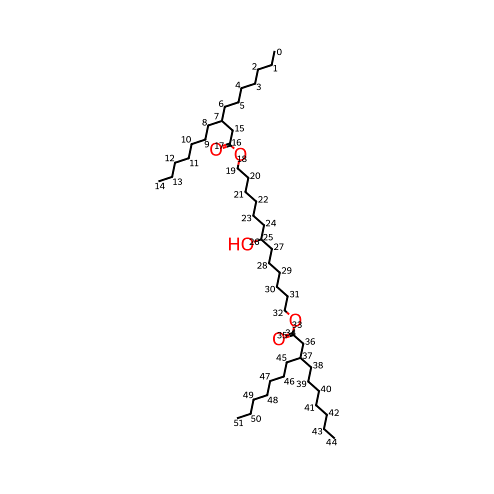 CCCCCCCC(CCCCCCC)CC(=O)OCCCCCCC(O)CCCCCCOC(=O)CC(CCCCCCC)CCCCCCC